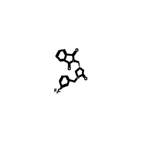 O=C1C[C@@H](CN2C(=O)c3ccccc3C2=O)CN1Cc1cccc(C(F)(F)F)c1